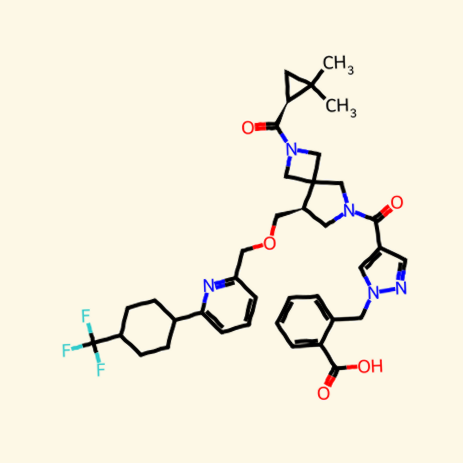 CC1(C)C[C@@H]1C(=O)N1CC2(CN(C(=O)c3cnn(Cc4ccccc4C(=O)O)c3)C[C@H]2COCc2cccc(C3CCC(C(F)(F)F)CC3)n2)C1